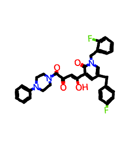 O=C(C=C(O)c1cc(Cc2ccc(F)cc2)cn(Cc2ccccc2F)c1=O)C(=O)N1CCN(c2ccccc2)CC1